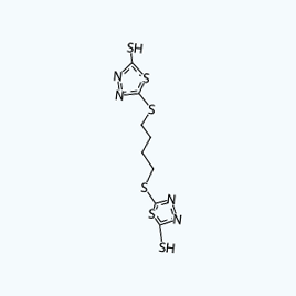 Sc1nnc(SCCCCSc2nnc(S)s2)s1